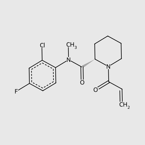 C=CC(=O)N1CCCC[C@H]1C(=O)N(C)c1ccc(F)cc1Cl